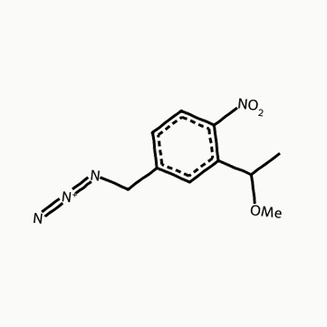 [CH2]OC(C)c1cc(CN=[N+]=[N-])ccc1[N+](=O)[O-]